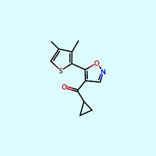 Cc1csc(-c2oncc2C(=O)C2CC2)c1C